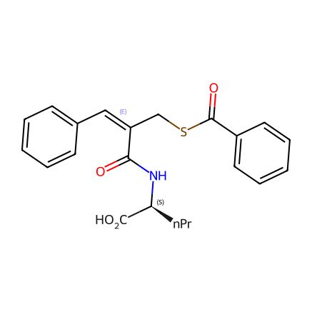 CCC[C@H](NC(=O)/C(=C\c1ccccc1)CSC(=O)c1ccccc1)C(=O)O